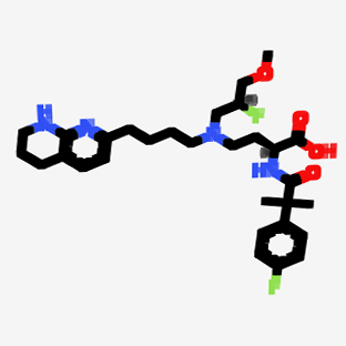 COC[C@@H](F)CN(CCCCc1ccc2c(n1)NCCC2)CC[C@H](NC(=O)C(C)(C)c1ccc(F)cc1)C(=O)O